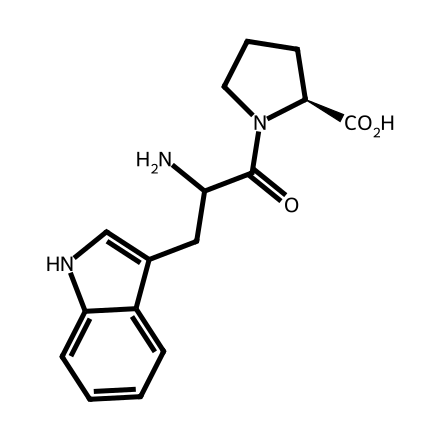 NC(Cc1c[nH]c2ccccc12)C(=O)N1CCC[C@H]1C(=O)O